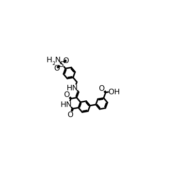 NS(=O)(=O)c1ccc(CN/C=C2\C(=O)NC(=O)c3ccc(-c4cccc(C(=O)O)c4)cc32)cc1